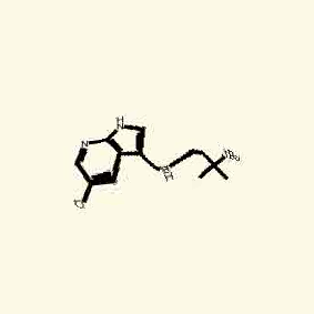 CC(C)(C)C(C)(C)CBc1c[nH]c2ncc(Cl)cc12